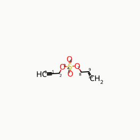 C#CCOS(=O)(=O)OCC=C